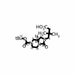 CC(C)(CC(=O)O)CN1C[C@@H]2CN(C(=O)OC(C)(C)C)CCN2C1=O